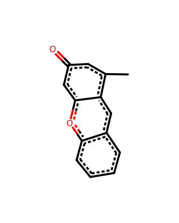 Cc1cc(=O)cc2oc3ccccc3cc1-2